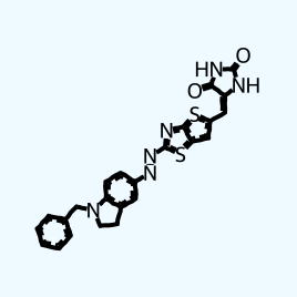 O=C1NC(=O)/C(=C\c2cc3sc(/N=N/c4ccc5c(c4)CCN5Cc4ccccc4)nc3s2)N1